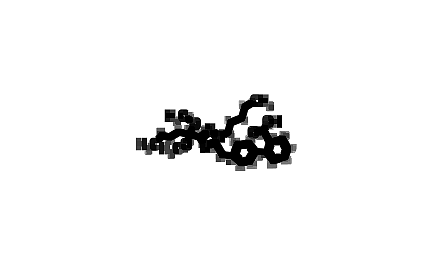 CCCCCn1nc(C(CCCC)(OC)OC)nc1Cc1ccc(-c2ccccc2C(=O)O)cc1